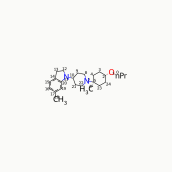 CCCO[C@H]1CC[C@](C)(N2CCC(N3CCc4ccc(C)cc43)CC2)CC1